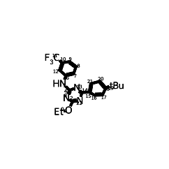 CCOc1nc(Nc2cccc(C(F)(F)F)c2)nc(-c2ccc(C(C)(C)C)cc2)n1